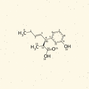 CCC=C[C@@H](c1cccc(O)c1)C(C)C(=O)O